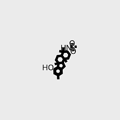 Cc1cc(O)c2c(c1)CC1C2(C)CCC2C(C)(C)C(NS(C)(=O)=O)CCC12C